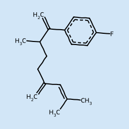 C=C(C=C(C)C)CCC(C)C(=C)c1ccc(F)cc1